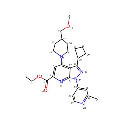 CCOC(=O)c1cc(N2CCC(COC)CC2)c2c(C3CCC3)nn(-c3ccnc(C)c3)c2n1